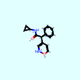 O=C(NC1CC1)C(C1=CNOC=C1)c1ccccc1